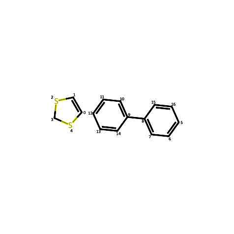 C1=CSCS1.c1ccc(-c2ccccc2)cc1